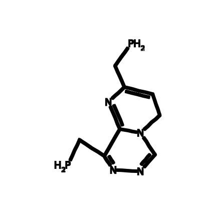 PCC1=CCN2C=NN=C(CP)C2=N1